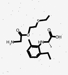 CCSCCOC(=O)CN.CCc1cccc(C)c1N[C@@H](C)C(=O)O